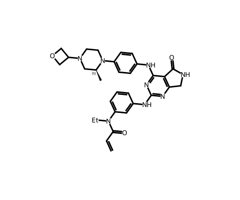 C=CC(=O)N(CC)c1cccc(Nc2nc3c(c(Nc4ccc(N5CCN(C6COC6)C[C@@H]5C)cc4)n2)C(=O)NC3)c1